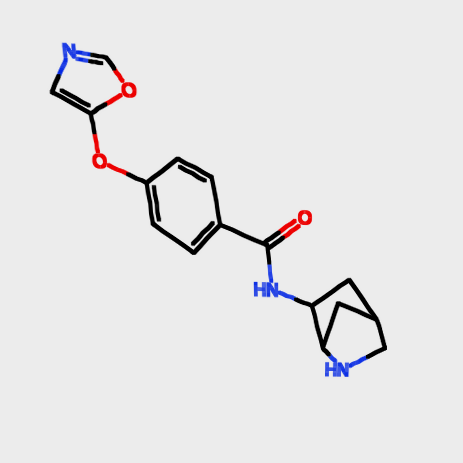 O=C(NC1CC2CNC1C2)c1ccc(Oc2cnco2)cc1